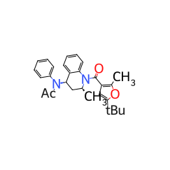 CC(=O)N(c1ccccc1)[C@@H]1C[C@H](C)N(C(=O)c2cc(C(C)(C)C)oc2C)c2ccccc21